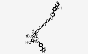 Cc1ncsc1-c1ccc(CNC(=O)[C@@H]2C[C@@H](O)CN2C(=O)[C@@H](NC(=O)COCCOCCOCCOCCOc2ccc(-c3ccc4c(c3)[nH]c3ccncc34)cn2)C(C)(C)C)cc1